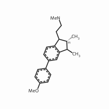 CNCCC1c2ccc(-c3ccc(OC)cc3)cc2C(C)[C@H]1C